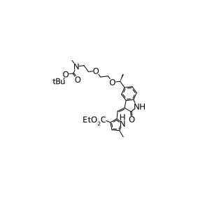 CCOC(=O)c1cc(C)[nH]c1/C=C1\C(=O)Nc2ccc([C@H](C)OCCOCCN(C)C(=O)OC(C)(C)C)cc21